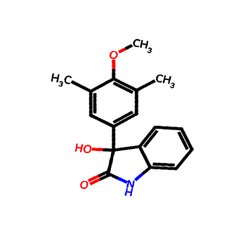 COc1c(C)cc(C2(O)C(=O)Nc3ccccc32)cc1C